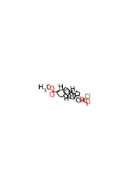 COC(=O)C1=C[C@@H]2CC[C@@H]3[C@H](CC[C@]4(C)[C@@H](OC(=O)Cl)CC[C@@H]34)[C@@]2(C)CC1